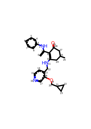 C=C(Nc1ccccc1)C1=C(NCc2ccncc2OCC2CC2)CC(C)CC1=O